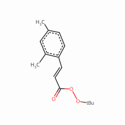 Cc1ccc(C=CC(=O)OOC(C)(C)C)c(C)c1